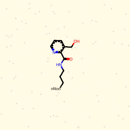 CCCCCCCCCCCCNC(=O)c1ncccc1CO